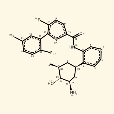 C[C@H]1C[C@@H](c2ccncc2NC(=O)c2ccc(F)c(-c3cc(F)ccc3F)n2)C[C@@H](N)[C@@H]1O